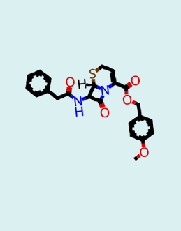 COc1ccc(COC(=O)C2=CCS[C@H]3C(NC(=O)Cc4ccccc4)C(=O)N23)cc1